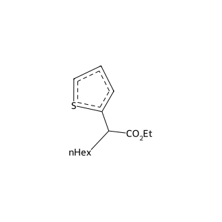 CCCCCCC(C(=O)OCC)c1cccs1